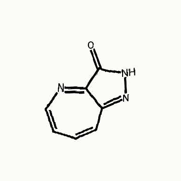 O=c1[nH]nc2ccccnc1-2